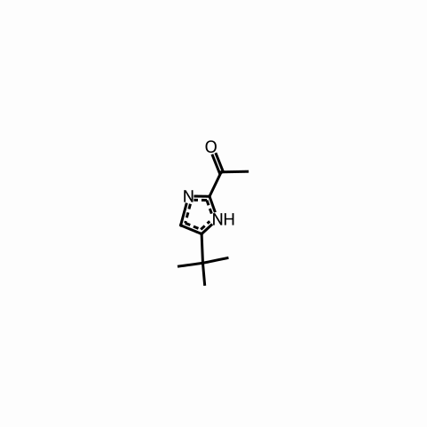 CC(=O)c1ncc(C(C)(C)C)[nH]1